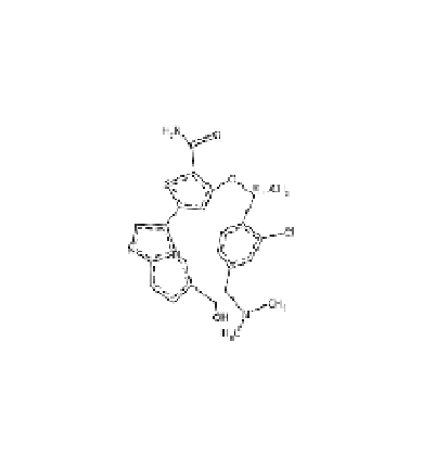 C[C@@H](Oc1cc(-c2cnc3ccc(CO)cn23)sc1C(N)=O)c1ccc(CN(C)C)cc1Cl